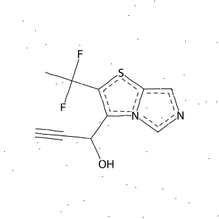 C#CC(O)c1c(C(C)(F)F)sc2cncn12